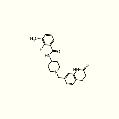 Cc1cccc(C(=O)NC2CCN(Cc3ccc4c(c3)NC(=O)CC4)CC2)c1F